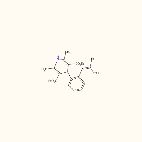 CCOC(=O)C1=C(C)NC(C)=C(C(=O)OCC)C1c1ccccc1C=C(CC)C(=O)O